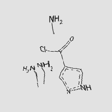 CN.CN.CN.O=C(Cl)c1cn[nH]c1